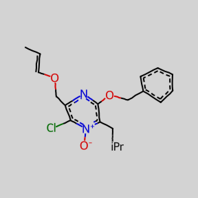 CC=COCc1nc(OCc2ccccc2)c(CC(C)C)[n+]([O-])c1Cl